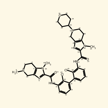 CN1CCc2c(nc(C(=O)Nc3cccc(-c4cccc(NC(=O)c5nc6c(n5C)CCN(C5CCOCC5)C6)c4Cl)c3Cl)n2C)C1